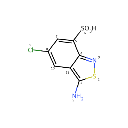 Nc1snc2c(S(=O)(=O)O)cc(Cl)cc12